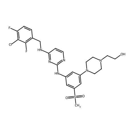 CS(=O)(=O)c1cc(Nc2nccc(NCc3ccc(F)c(Cl)c3F)n2)cc(N2CCN(CCO)CC2)c1